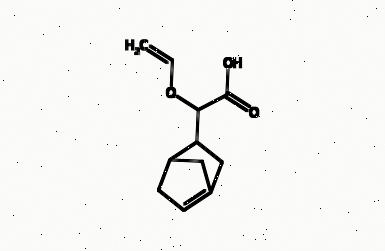 C=COC(C(=O)O)C1CC2=CCC1C2